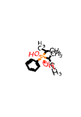 CC(C)P(O)(O)(c1ccccc1)C(C)C